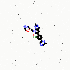 Cc1cncc(-c2ccc(-c3cc4cnc(C)nc4n(CC[C@@H]4CNCCO4)c3=O)c(Cl)c2)n1